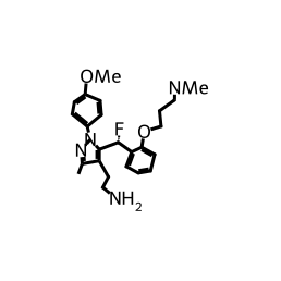 CNCCCOc1ccccc1[C@@H](F)c1c(CCN)c(C)nn1-c1ccc(OC)cc1